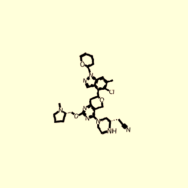 Cc1cc2c(cnn2C2CCCCO2)c(C2Cc3nc(OC[C@@H]4CCCN4C)nc(N4CCN[C@@H](CC#N)C4)c3CO2)c1Cl